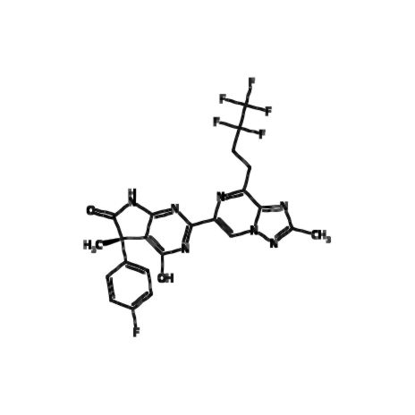 Cc1nc2c(CCC(F)(F)C(F)(F)F)nc(-c3nc(O)c4c(n3)NC(=O)[C@@]4(C)c3ccc(F)cc3)cn2n1